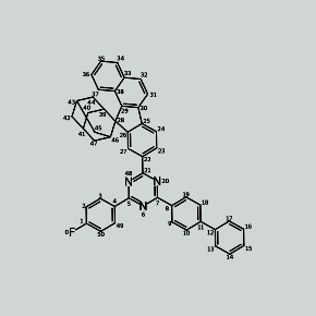 Fc1ccc(-c2nc(-c3ccc(-c4ccccc4)cc3)nc(-c3ccc4c(c3)C3(c5c-4ccc4ccccc54)C4CC5CC(C4)CC3C5)n2)cc1